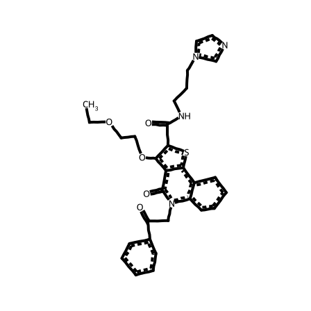 CCOCCOc1c(C(=O)NCCCn2ccnc2)sc2c1c(=O)n(CC(=O)c1ccccc1)c1ccccc21